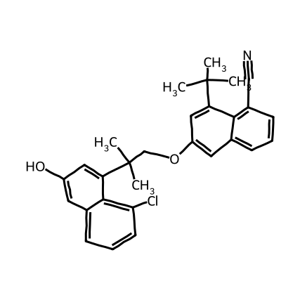 CC(C)(C)c1cc(OCC(C)(C)c2cc(O)cc3cccc(Cl)c23)cc2cccc(C#N)c12